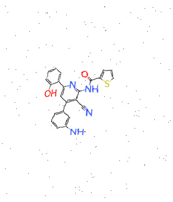 N#Cc1c(-c2cccc([NH])c2)cc(-c2ccccc2O)nc1NC(=O)c1cccs1